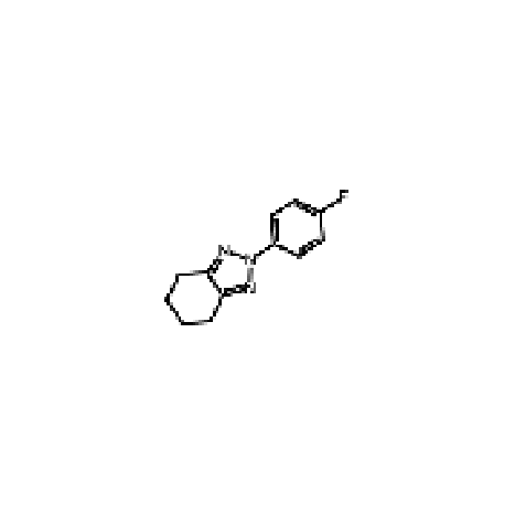 Fc1ccc(-n2nc3c(n2)CCCC3)cc1